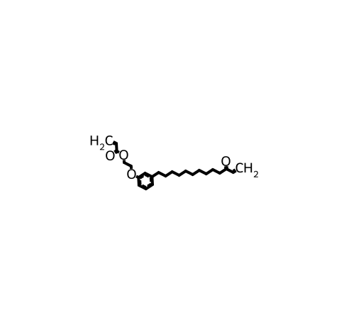 C=CC(=O)CCCCCCCCCCc1cccc(OCCOC(=O)C=C)c1